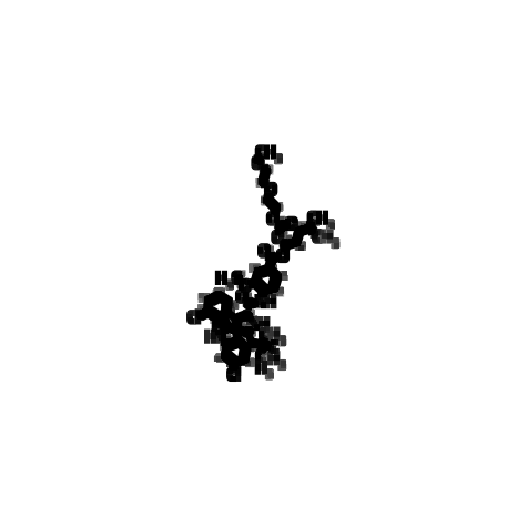 COCCOCCOC(=O)OC(CCC(C)C)OC(=O)c1ccc(NC(=O)[C@@H]2N[C@@H](CC(C)(C)C)C3(C(=O)Nc4cc(Cl)ccc43)[C@H]2c2cccc(Cl)c2F)c(OC)c1